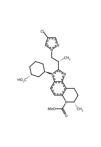 COC(=O)N1c2ccc3c(nc([C@@H](C)Cn4cc(Cl)cn4)n3[C@@H]3CCC[C@@H](C(=O)O)C3)c2CC[C@@H]1C